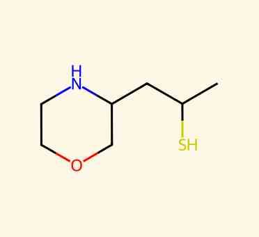 CC(S)CC1COCCN1